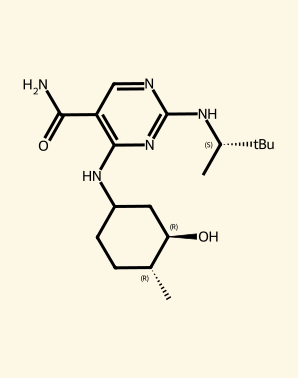 C[C@@H]1CCC(Nc2nc(N[C@@H](C)C(C)(C)C)ncc2C(N)=O)C[C@H]1O